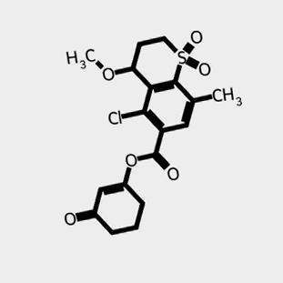 COC1CCS(=O)(=O)c2c(C)cc(C(=O)OC3=CC(=O)CCC3)c(Cl)c21